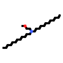 CCCCCCCCCCCCN(CCCCCCCCCCCC)CCOC